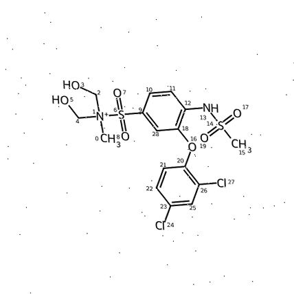 C[N+](CO)(CO)S(=O)(=O)c1ccc(NS(C)(=O)=O)c(Oc2ccc(Cl)cc2Cl)c1